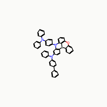 c1ccc(-c2ccc(N(c3ccccc3)c3ccc4c(c3)N(c3ccc(N(c5ccccc5)c5ccccc5)cc3)c3cccc5c3B4c3ccccc3O5)cc2)cc1